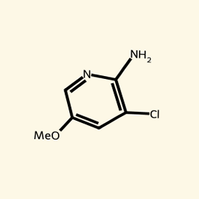 COc1cnc(N)c(Cl)c1